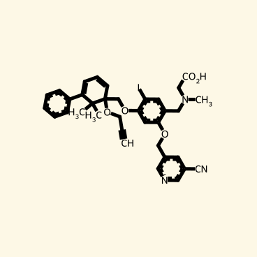 C#CCOC1(COc2cc(OCc3cncc(C#N)c3)c(CN(C)CC(=O)O)cc2I)C=CC=C(c2ccccc2)C1(C)C